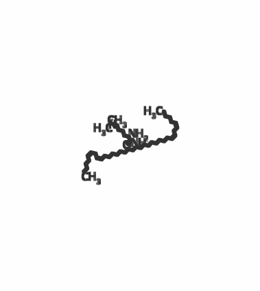 CCCCC/C=C\C/C=C\CCCCCCCCC(CCCCCCCC/C=C\C/C=C\CCCCC)NC(=O)C(N)CCCCN(C)C